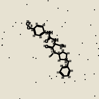 CN(C(=O)C(NC(=O)Nc1ccc(OC(F)(F)F)cc1)C(C)(C)C)C1CCN(Cc2ccccc2)C1